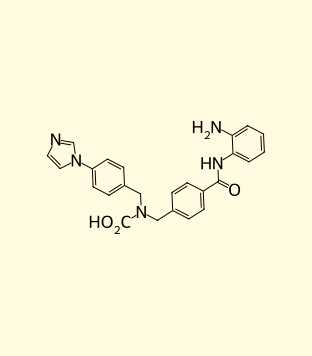 Nc1ccccc1NC(=O)c1ccc(CN(Cc2ccc(-n3ccnc3)cc2)C(=O)O)cc1